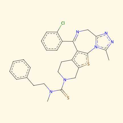 Cc1nnc2n1-c1sc3c(c1C(c1ccccc1Cl)=NC2)CCN(C(=S)N(C)CCc1ccccc1)C3